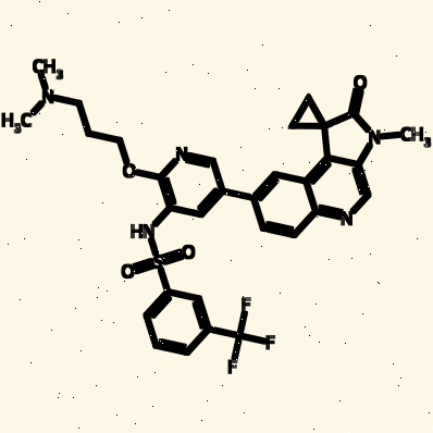 CN(C)CCCOc1ncc(-c2ccc3ncc4c(c3c2)C2(CC2)C(=O)N4C)cc1NS(=O)(=O)c1cccc(C(F)(F)F)c1